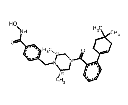 C[C@@H]1CN(C(=O)c2ccccc2C2=CCC(C)(C)CC2)C[C@H](C)N1Cc1ccc(C(=O)NO)cc1